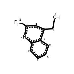 OCc1cc(C(F)(F)F)nc2ccccc12